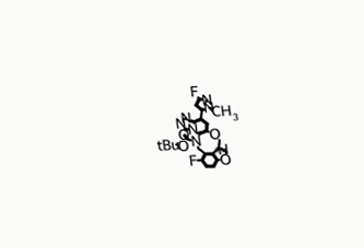 Cn1nc(F)cc1-c1cc2c(n3cnnc13)N(C(=O)OC(C)(C)C)Cc1c(F)ccc3c1[C@H](CO3)CO2